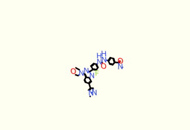 CN(C)C(=O)c1ccc(NC(=O)Nc2ccc(-c3nc(N4CCOCC4)c4ccc(-c5cnn(C)c5)cc4n3)c(F)c2)cc1